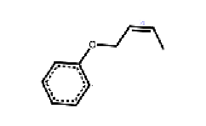 C/C=C\COc1[c]cccc1